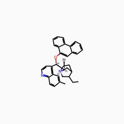 CCC1C[N@@]2CCC1C[C@H]2[C@H](Oc1cc2ccccc2c2ccccc12)c1ccnc2ccc(C)cc12